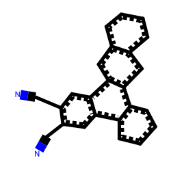 N#Cc1cc2c3ccccc3c3cc4ccccc4cc3c2cc1C#N